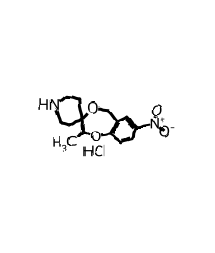 CC1Oc2ccc([N+](=O)[O-])cc2COC12CCNCC2.Cl